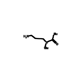 CCC(C)C(=O)N(CCCN)C(C)(C)C